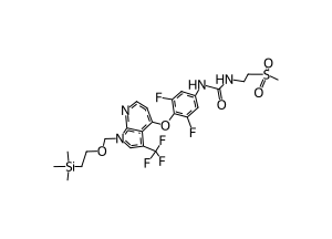 C[Si](C)(C)CCOCn1cc(C(F)(F)F)c2c(Oc3c(F)cc(NC(=O)NCCS(C)(=O)=O)cc3F)ccnc21